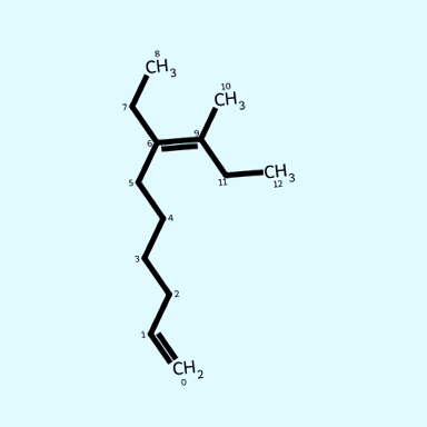 C=CCCCCC(CC)=C(C)CC